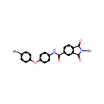 CCC(C)N1C(=O)c2ccc(C(=O)Nc3ccc(Oc4ccc(C(C)(C)C)cc4)cc3)cc2C1=O